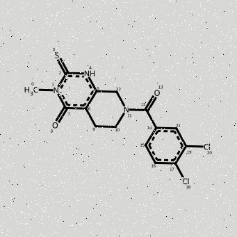 Cn1c(=S)[nH]c2c(c1=O)CCN(C(=O)c1ccc(Cl)c(Cl)c1)C2